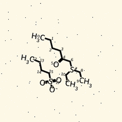 CCCCC(=O)C[S+](CC)CC.CCCCS(=O)(=O)[O-]